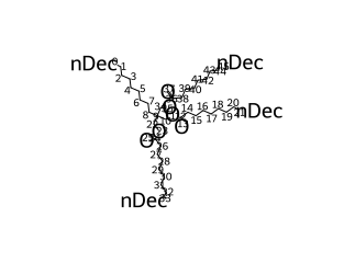 CCCCCCCCCCCCCCCCCCC(COC(=O)CCCCCCCCCCCCCCCCC)(COC(=O)CCCCCCCCCCCCCCCCC)COC(=O)CCCCCCCCCCCCCCCCC